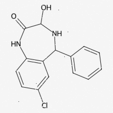 O=C1Nc2ccc(Cl)cc2C(c2ccccc2)NC1O